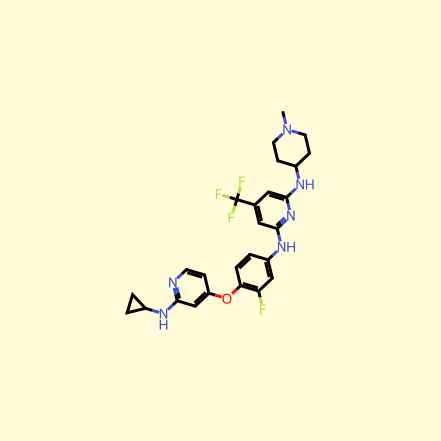 CN1CCC(Nc2cc(C(F)(F)F)cc(Nc3ccc(Oc4ccnc(NC5CC5)c4)c(F)c3)n2)CC1